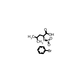 Brc1ccccc1.CC(C)CC(N=S(=O)=O)C(=O)O